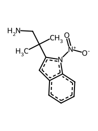 CC(C)(CN)c1cc2ccccc2n1[N+](=O)[O-]